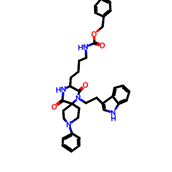 O=C(NCCCCC1NC(=O)C2(CCN(c3ccccc3)CC2)N(CCc2c[nH]c3ccccc23)C1=O)OCc1ccccc1